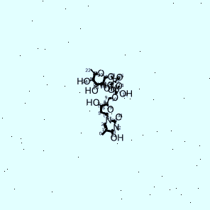 Cc1cn([C@H]2C[C@H](O)[C@@H](COP(=O)(O)OP(=O)(O)OC3O[C@H](C)[C@@H](O)[C@@H](O)[C@H]3O)O2)c(=O)nc1O